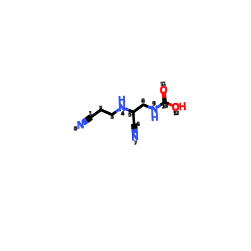 N#CCCNC(C#N)CNC(=O)O